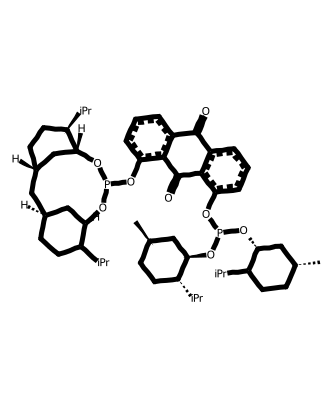 CC(C)C1CC[C@@H](C)C[C@H]1OP(Oc1cccc2c1C(=O)c1c(OP3O[C@@H]4C[C@@H](CCC4C(C)C)C[C@@H]4CC[C@@H](C(C)C)[C@@H](C4)O3)cccc1C2=O)O[C@@H]1C[C@H](C)CC[C@H]1C(C)C